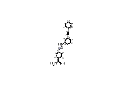 N=C(N)c1ccc(/N=N/Nc2cccc(C#Cc3ccccc3)c2)cc1